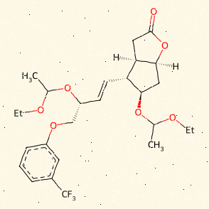 CCOC(C)O[C@H](/C=C/[C@@H]1[C@H]2CC(=O)O[C@H]2C[C@H]1OC(C)OCC)COc1cccc(C(F)(F)F)c1